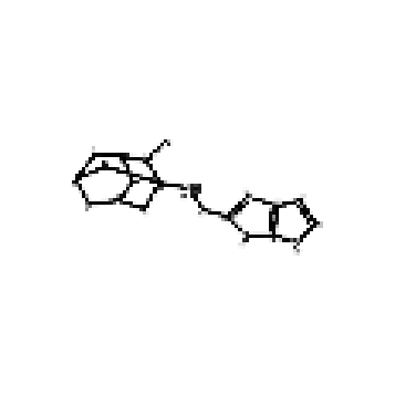 CC1C2CC3CC(C2)CC1(NCc1cc2ccsc2s1)C3